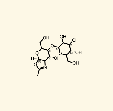 CC1=NC2[C@@H](O1)OC(CO)[C@@H](O[C@@H]1OC(CO)[C@@H](O)[C@H](O)C1O)[C@@H]2O